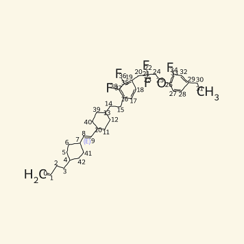 C=CCCC1CCC(/C=C/C2CCC(CCc3ccc(CC(F)(F)COc4ccc(CC)cc4F)c(F)c3F)CC2)CC1